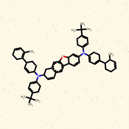 CC1=C(C2C=CC(N(C3=CC=C(C(C)(C)C)CC3)C3C=Cc4cc5c(cc4C3)OC3C=C(N(C4=CC=C(C6CCC=CC6C)CC4)C4=CC=C(C(C)(C)C)CC4)C=CC53)CC2)CCC=C1